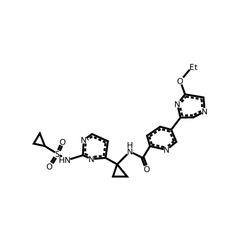 CCOc1cncc(-c2ccc(C(=O)NC3(c4ccnc(NS(=O)(=O)C5CC5)n4)CC3)nc2)n1